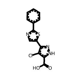 O=C(O)c1[nH]nc(-c2cnc(-c3ccccc3)s2)c1Cl